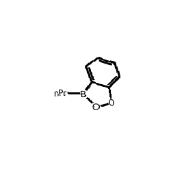 CCCB1OOc2ccccc21